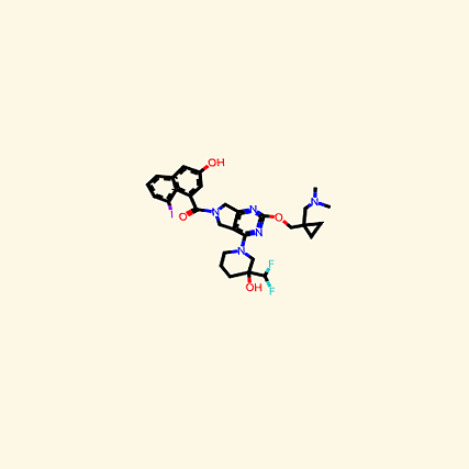 CN(C)CC1(COc2nc3c(c(N4CCCC(O)(C(F)F)C4)n2)CN(C(=O)c2cc(O)cc4cccc(I)c24)C3)CC1